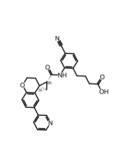 N#Cc1ccc(CCCC(=O)O)c(NC(=O)[C@@H]2C[C@]23CCOc2ccc(-c4cccnc4)cc23)c1